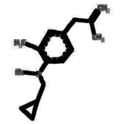 C=C(C)Cc1ccc(N(CC2CC2)C(C)CC)c(C)c1